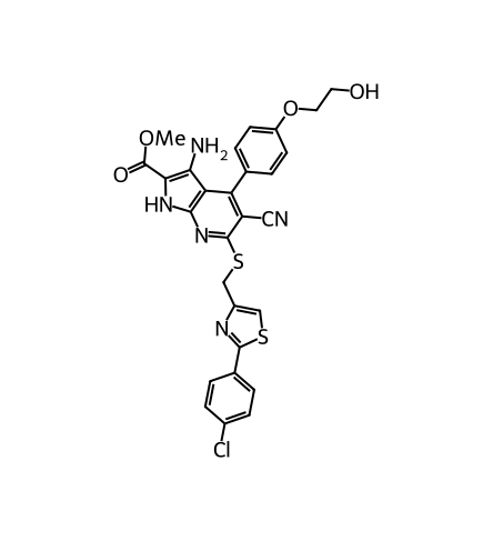 COC(=O)c1[nH]c2nc(SCc3csc(-c4ccc(Cl)cc4)n3)c(C#N)c(-c3ccc(OCCO)cc3)c2c1N